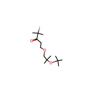 CC(C)(C)OC(C)(C)COCCC(=O)C(C)(C)I